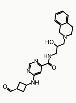 O=C[C@H]1C[C@@H](Nc2cc(C(=O)NCC(O)CN3CCc4ccccc4C3)ncn2)C1